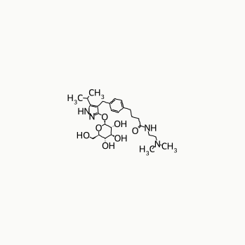 CC(C)c1[nH]nc(O[C@@H]2O[C@H](CO)[C@@H](O)[C@H](O)[C@H]2O)c1Cc1ccc(CCCC(=O)NCCN(C)C)cc1